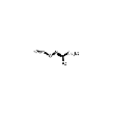 CCCCCO/N=C(\C(C)=O)C(=O)OCC